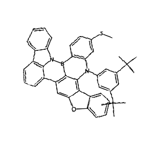 CSc1ccc2c(c1)N(c1cc(C(C)(C)C)cc(C(C)(C)C)c1)c1c3c(cc4oc5ccccc5c14)-c1cccc4c5ccccc5n(c14)B23